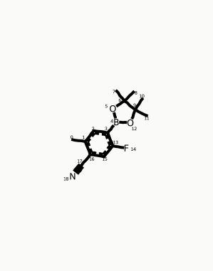 Cc1cc(B2OC(C)(C)C(C)(C)O2)c(F)cc1C#N